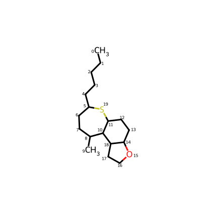 CCCCCC1CCC(C)C2C(CCC3OCCC32)S1